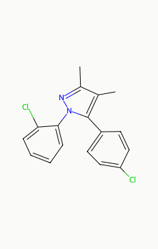 Cc1nn(-c2ccccc2Cl)c(-c2ccc(Cl)cc2)c1C